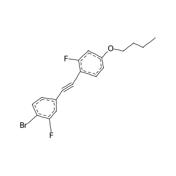 CCCCOc1ccc(C#Cc2ccc(Br)c(F)c2)c(F)c1